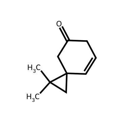 CC1(C)CC12C=CCC(=O)C2